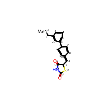 CNCc1cccc(C2C=CC(=CC3SC(=O)NC3=O)C=C2)c1